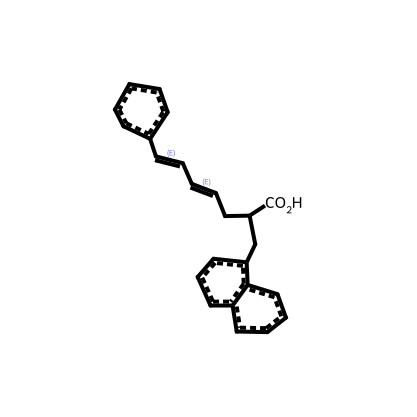 O=C(O)C(C/C=C/C=C/c1ccccc1)Cc1cccc2ccccc12